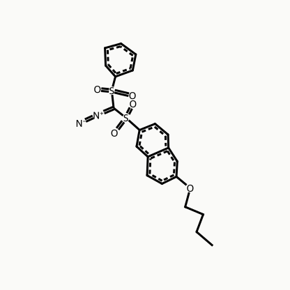 CCCCOc1ccc2cc(S(=O)(=O)C(=[N+]=[N-])S(=O)(=O)c3ccccc3)ccc2c1